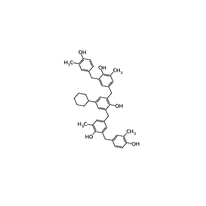 Cc1cc(Cc2cc(Cc3cc(C4CCCCC4)cc(Cc4cc(C)c(O)c(Cc5ccc(O)c(C)c5)c4)c3O)cc(C)c2O)ccc1O